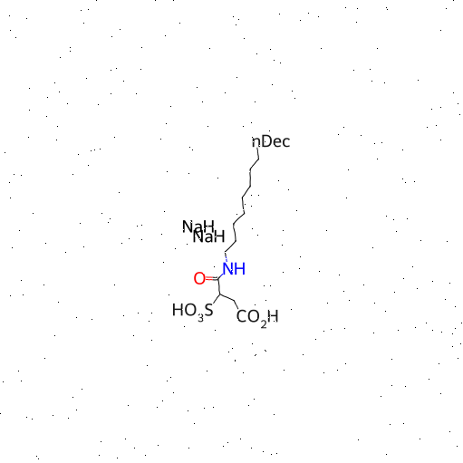 CCCCCCCCCCCCCCCCCCNC(=O)C(CC(=O)O)S(=O)(=O)O.[NaH].[NaH]